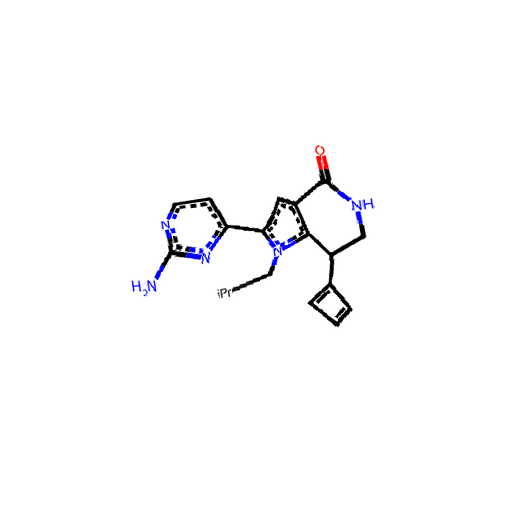 CC(C)Cn1c(-c2ccnc(N)n2)cc2c1C(C1=CC=C1)CNC2=O